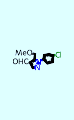 COCc1c(C=O)cnn1-c1ccc(Cl)cc1